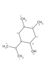 CC(C)C1CC(C)C(C)CC1O